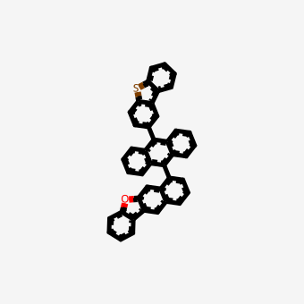 c1cc(-c2c3ccccc3c(-c3ccc4sc5ccccc5c4c3)c3ccccc23)c2cc3oc4ccccc4c3cc2c1